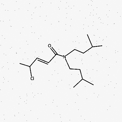 CC(Cl)/C=C/C(=O)N(CCC(C)C)CCC(C)C